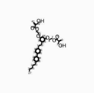 C=C(CO)C(=O)OCCOc1cc(CCc2ccc(-c3ccc(CCCCC)cc3)cc2)cc(OCCOC(=O)C(=C)CO)c1